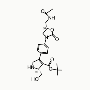 CC(=O)NC[C@H]1CN(c2ccc(C3=C(C(=O)OC(C)(C)C)[C@H](CO)NC3)cc2)C(=O)O1